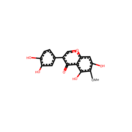 COc1c(O)cc2occ(-c3ccc(O)c(O)c3)c(=O)c2c1O